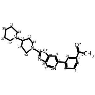 CC(=O)c1cccc(-c2cc3sc(N4CCC(N5CCCCC5)CC4)nc3cn2)c1